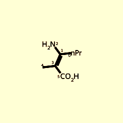 CCC/C(N)=C(/C)C(=O)O